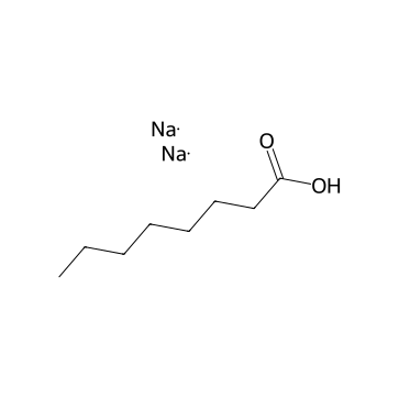 CCCCCCCC(=O)O.[Na].[Na]